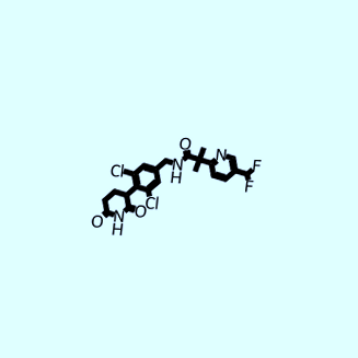 CC(C)(C(=O)NCc1cc(Cl)c(C2CCC(=O)NC2=O)c(Cl)c1)c1ccc(C(F)F)cn1